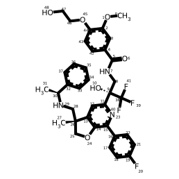 COc1cc(C(=O)NC[C@](O)(c2cc3c(c(-c4ccc(F)cc4)n2)OC[C@]3(C)CN[C@@H](C)c2ccccc2)C(F)(F)F)ccc1OCCO